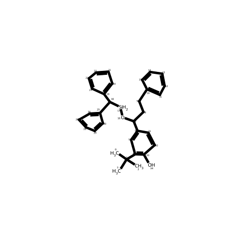 CC(C)(C)c1cc(C(CCc2ccccc2)O[SiH2]C(c2ccccc2)c2ccccc2)ccc1O